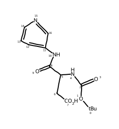 CC(C)(C)OC(=O)NC(CC(=O)O)C(=O)Nc1cccnc1